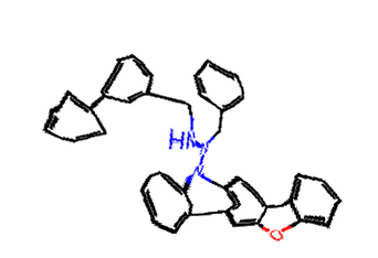 c1ccc(CN(NCc2cccc(-c3ccccc3)c2)n2c3ccccc3c3cc4oc5ccccc5c4cc32)cc1